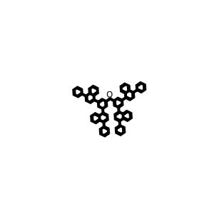 O=C(C1=CC(c2ccc(-c3ccccc3)c3ccccc23)CC(c2ccc(-c3ccccc3)c3ccccc23)=C1)c1cc(-c2ccc(-c3ccccc3)c3ccccc23)cc(-c2ccc(-c3ccccc3)c3ccccc23)c1